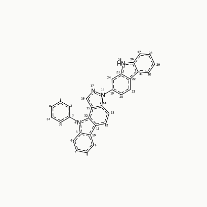 c1ccc(-n2c3ccccc3c3ccc4c(cnn4-c4ccc5c(c4)[nH]c4ccccc45)c32)cc1